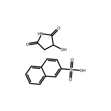 O=C1CC(O)C(=O)N1.O=S(=O)(O)c1ccc2ccccc2c1